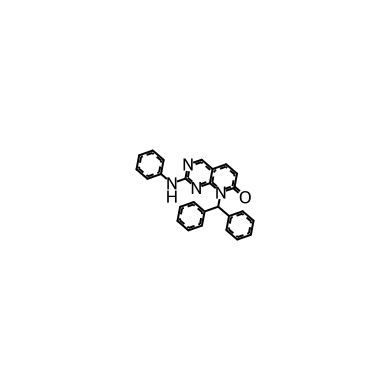 O=c1ccc2cnc(Nc3ccccc3)nc2n1C(c1ccccc1)c1ccccc1